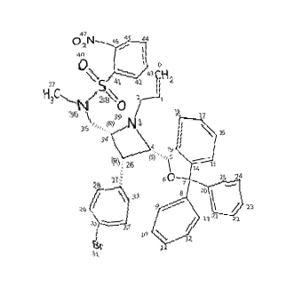 C=CCN1[C@H](COC(c2ccccc2)(c2ccccc2)c2ccccc2)[C@H](c2ccc(Br)cc2)[C@@H]1CN(C)S(=O)(=O)c1ccccc1[N+](=O)[O-]